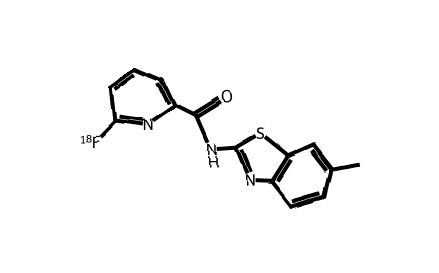 Cc1ccc2nc(NC(=O)c3cccc([18F])n3)sc2c1